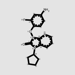 Nc1ccc(On2c(=O)n(C3CCCC3)c3cccnc32)c(F)c1